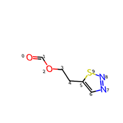 O=COCCc1cnns1